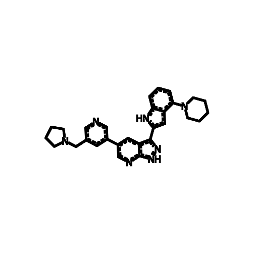 c1cc(N2CCCCC2)c2cc(-c3n[nH]c4ncc(-c5cncc(CN6CCCC6)c5)cc34)[nH]c2c1